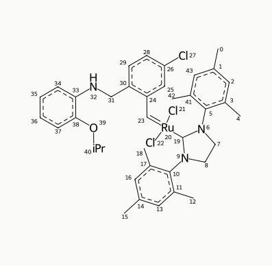 Cc1cc(C)c(N2CCN(c3c(C)cc(C)cc3C)[CH]2[Ru]([Cl])([Cl])=[CH]c2cc(Cl)ccc2CNc2ccccc2OC(C)C)c(C)c1